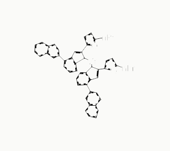 CCCc1ccc(C2=Cc3c(-c4ccc5ccccc5c4)cccc3[CH]2[Zr][CH]2C(c3ccc(CCC)o3)=Cc3c(-c4ccc5ccccc5c4)cccc32)o1